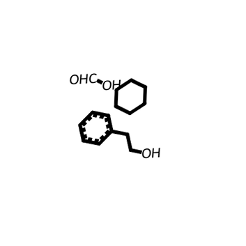 C1CCCCC1.O=CO.OCCc1ccccc1